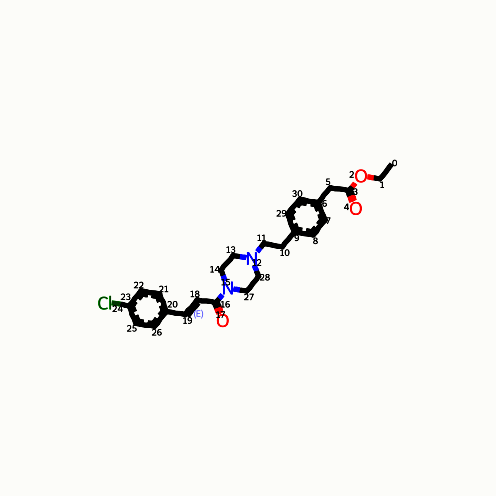 CCOC(=O)Cc1ccc(CCN2CCN(C(=O)/C=C/c3ccc(Cl)cc3)CC2)cc1